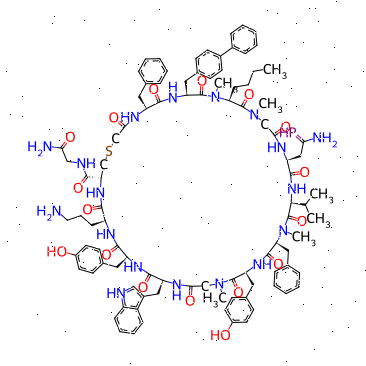 CCCC[C@H]1C(=O)N(C)CC(=O)N[C@@H](CC(N)=P)C(=O)N[C@@H](C(C)C)C(=O)N(C)[C@@H](Cc2ccccc2)C(=O)N[C@@H](Cc2ccc(O)cc2)C(=O)N(C)CC(=O)N[C@@H](Cc2c[nH]c3ccccc23)C(=O)N[C@@H](Cc2ccc(O)cc2)C(=O)N[C@@H](CCCN)C(=O)N[C@H](C(=O)NCC(N)=O)CSCC(=O)N[C@@H](Cc2ccccc2)C(=O)N[C@@H](Cc2ccc(-c3ccccc3)cc2)C(=O)N1C